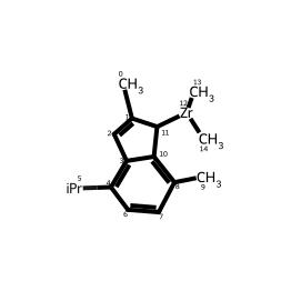 CC1=Cc2c(C(C)C)ccc(C)c2[CH]1[Zr]([CH3])[CH3]